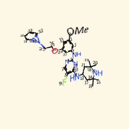 COc1cc(Nc2ncc(F)c(NC3CC(C)(C)NC(C)(C)C3)n2)cc(OCCn2cccc2)c1